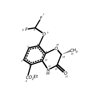 CCOC(=O)c1ccc(OC(F)F)c2c1NC(=O)[C@@H](C)O2